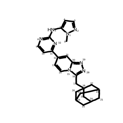 Cn1nccc1Nc1nccc(-c2ccn3c(CC45CC6CC(CC(C6)C4)C5)nnc3c2)n1